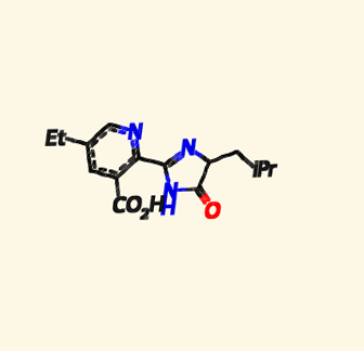 CCc1cnc(C2=NC(CC(C)C)C(=O)N2)c(C(=O)O)c1